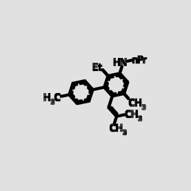 CCCNc1cc(C)c(C=C(C)C)c(-c2ccc(C)cc2)c1CC